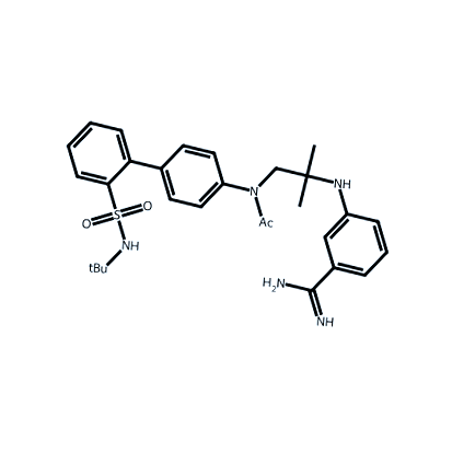 CC(=O)N(CC(C)(C)Nc1cccc(C(=N)N)c1)c1ccc(-c2ccccc2S(=O)(=O)NC(C)(C)C)cc1